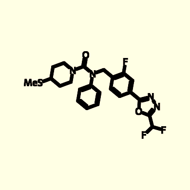 CSC1CCN(C(=O)N(Cc2ccc(-c3nnc(C(F)F)o3)cc2F)c2ccccc2)CC1